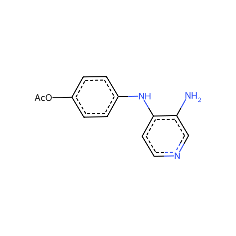 CC(=O)Oc1ccc(Nc2ccncc2N)cc1